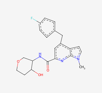 Cn1ccc2c(Cc3ccc(F)cc3)cc(C(=O)NC3COCCC3O)nc21